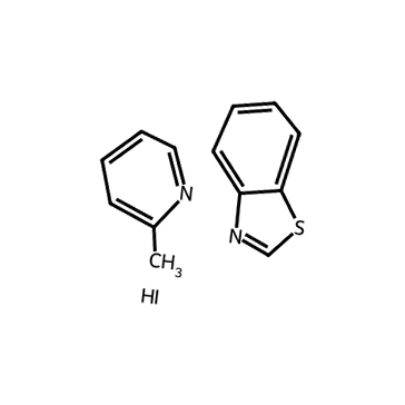 Cc1ccccn1.I.c1ccc2scnc2c1